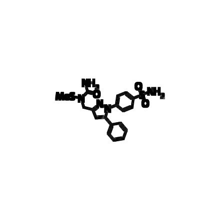 CSN(Cc1cc(-c2ccccc2)n(-c2ccc(S(N)(=O)=O)cc2)n1)C(N)=O